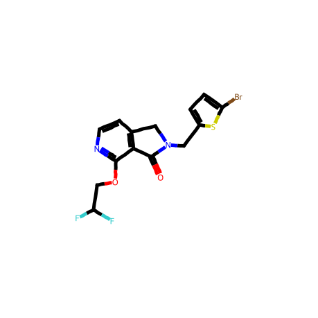 O=C1c2c(ccnc2OCC(F)F)CN1Cc1ccc(Br)s1